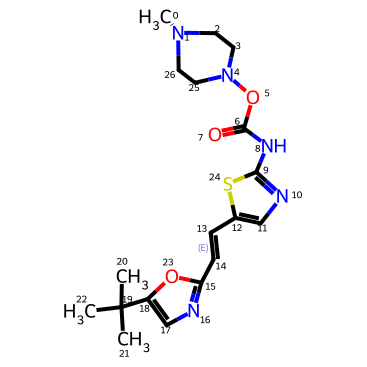 CN1CCN(OC(=O)Nc2ncc(/C=C/c3ncc(C(C)(C)C)o3)s2)CC1